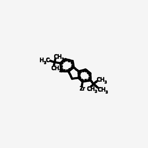 CC(C)(C)c1ccc2c(c1)Cc1c-2ccc(C(C)(C)C)[c]1[Zr]